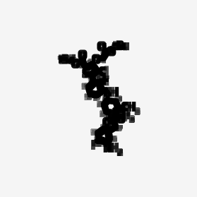 CC(C)(C)OC(=O)COc1c(C(=O)OC(C)(C)C)sc(-c2cccc(N[C@H]3CCN(S(=O)(=O)Cc4ccc(F)c(N)c4)C(C)(C)C3)c2F)c1Cl